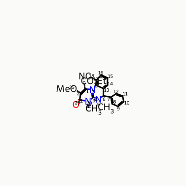 CCOC(=O)c1nc(N(C)C(c2ccccc2)c2cccc(C#N)c2)n(C)c(=O)c1OC